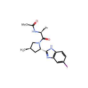 COC(=O)N[C@H](C(=O)N1C[C@H](C)C[C@H]1c1nc2cc(I)ccc2[nH]1)C(C)C